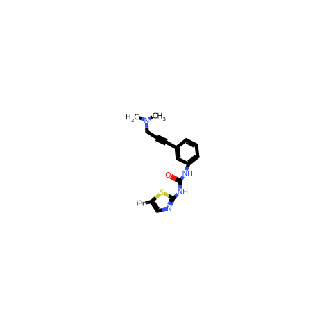 CC(C)c1cnc(NC(=O)Nc2cccc(C#CCN(C)C)c2)s1